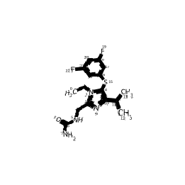 CCn1c(CNC(N)=O)nc(C(C)C)c1Sc1cc(F)cc(F)c1